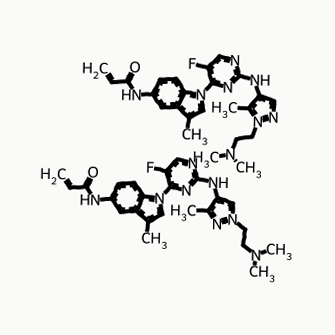 C=CC(=O)Nc1ccc2c(c1)c(C)cn2-c1nc(Nc2cn(CCN(C)C)nc2C)ncc1F.C=CC(=O)Nc1ccc2c(c1)c(C)cn2-c1nc(Nc2cnn(CCN(C)C)c2C)ncc1F